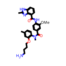 COc1cc(C(=O)N(C)c2ccc(C)cc2OCCCCN)ccc1NC(=O)c1cccc2[nH]c(C)nc12